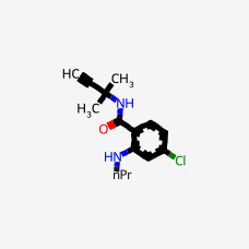 C#CC(C)(C)NC(=O)c1ccc(Cl)cc1NCCC